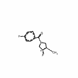 CC1CN(C(=O)c2ccc(F)cc2)C[C@@H]1F